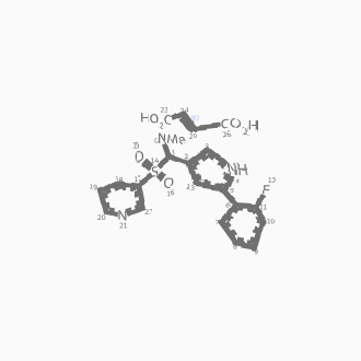 CNC(c1c[nH]c(-c2ccccc2F)c1)S(=O)(=O)c1cccnc1.O=C(O)/C=C/C(=O)O